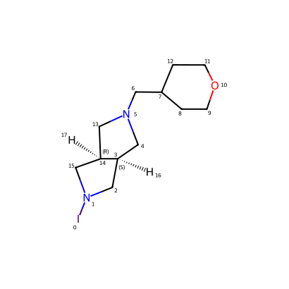 IN1C[C@@H]2CN(CC3CCOCC3)C[C@@H]2C1